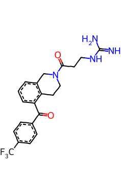 N=C(N)NCCC(=O)N1CCc2c(cccc2C(=O)c2ccc(C(F)(F)F)cc2)C1